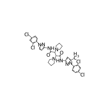 Cc1cc(NC(=O)C(C(C(=O)Nc2ccn(-c3ccc(Cl)cc3Cl)n2)N2CCCC2)N2CCCC2)nn1-c1ccc(Cl)cc1Cl